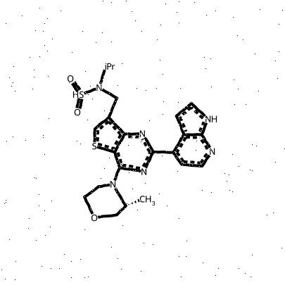 CC(C)N(Cc1csc2c(N3CCOC[C@H]3C)nc(-c3ccnc4[nH]ccc34)nc12)[SH](=O)=O